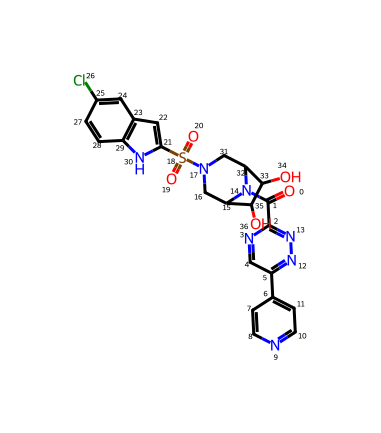 O=C(c1ncc(-c2ccncc2)nn1)N1C2CN(S(=O)(=O)c3cc4cc(Cl)ccc4[nH]3)CC1C(O)C2O